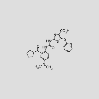 CN(C)c1ccc(NC(=O)Nc2nc(C(=O)O)c(Sc3ccccn3)s2)c(C(=O)C2CCCC2)c1